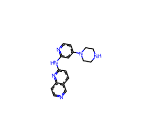 c1cc2nc(Nc3cc(N4CCNCC4)ccn3)ccc2cn1